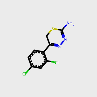 NC1=NN=C(c2ccc(Cl)cc2Cl)CS1